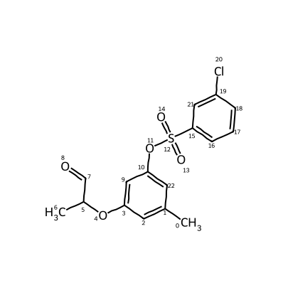 Cc1cc(OC(C)C=O)cc(OS(=O)(=O)c2cccc(Cl)c2)c1